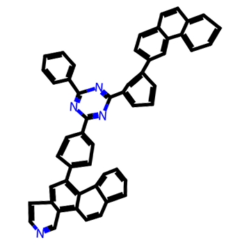 c1ccc(-c2nc(-c3ccc(-c4cc5ccncc5c5ccc6ccccc6c45)cc3)nc(-c3cccc(-c4ccc5ccc6ccccc6c5c4)c3)n2)cc1